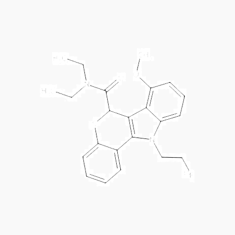 CCN(CC)C(=O)C1Sc2ccccc2-c2c1c1c(OC)cccc1n2CC[18F]